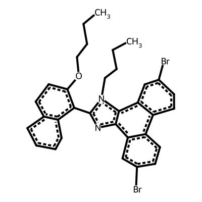 CCCCOc1ccc2ccccc2c1-c1nc2c3cc(Br)ccc3c3ccc(Br)cc3c2n1CCCC